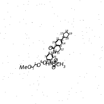 COCCOCOc1ccc(N2CCc3cc(C4CCCC4)ccc3C2=O)cc1NS(C)(=O)=O